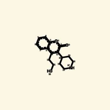 O=c1oc2ccccc2c(CCO)c1C1CCNCC1